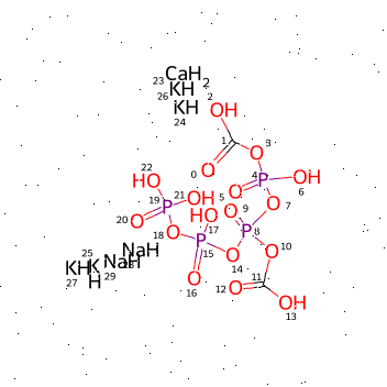 O=C(O)OP(=O)(O)OP(=O)(OC(=O)O)OP(=O)(O)OP(=O)(O)O.[CaH2].[KH].[KH].[KH].[KH].[NaH].[NaH]